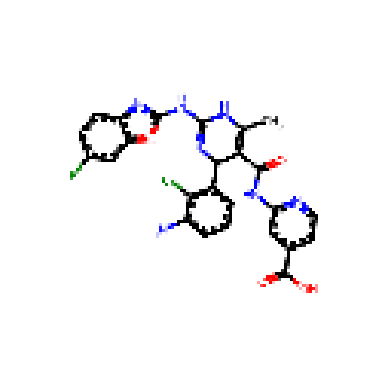 CC1=C(C(=O)Nc2cc(C(=O)O)ccn2)C(c2cccc(N)c2Cl)N=C(Nc2nc3ccc(F)cc3o2)N1